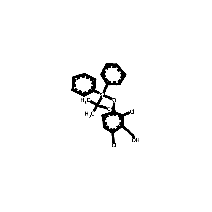 CC(C)(C)[Si](Oc1ccc(Cl)c(CO)c1Cl)(c1ccccc1)c1ccccc1